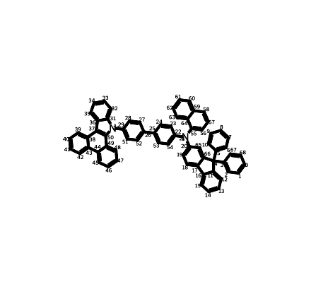 c1ccc(C2(c3ccccc3)c3ccccc3-c3ccc(N(c4ccc(-c5ccc(-n6c7ccccc7c7c8ccccc8c8ccccc8c76)cc5)cc4)c4cccc5ccccc45)cc32)cc1